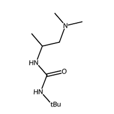 CC(CN(C)C)NC(=O)NC(C)(C)C